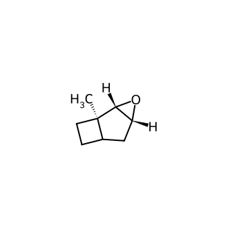 C[C@@]12CCC1C[C@H]1O[C@H]12